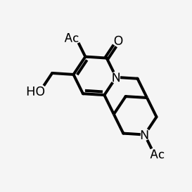 CC(=O)c1c(CO)cc2n(c1=O)CC1CC2CN(C(C)=O)C1